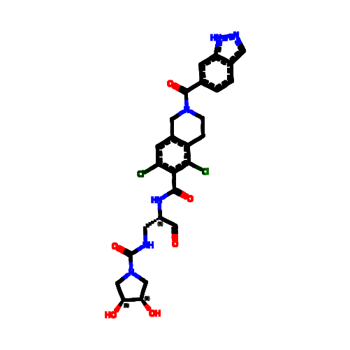 O=C[C@H](CNC(=O)N1C[C@@H](O)[C@@H](O)C1)NC(=O)c1c(Cl)cc2c(c1Cl)CCN(C(=O)c1ccc3cn[nH]c3c1)C2